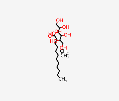 C=C.CCCCCCCCCCCC(=O)O.OCC(O)C(O)C(O)C(O)CO